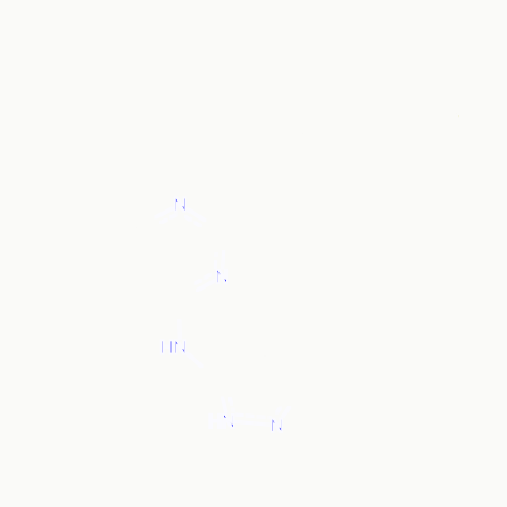 Cc1cc(Nc2nc(-c3ccc(-c4ccsc4)cc3)nc3ccccc23)[nH]n1